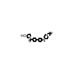 CN(c1ccc(-c2ccc(C(=O)N3CCC[C@@H](O)C3)cc2)cc1)C1CCN(CC(C)(C)F)CC1